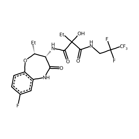 CC[C@H]1Oc2ccc(F)cc2NC(=O)[C@H]1NC(=O)C(O)(CC)C(=O)NCC(F)(F)C(F)(F)F